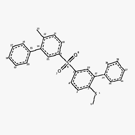 CSc1ccc(S(=O)(=O)c2ccc(C)c(-c3ccccc3)c2)cc1-c1ccccc1